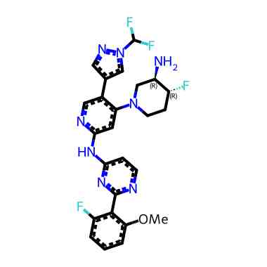 COc1cccc(F)c1-c1nccc(Nc2cc(N3CC[C@@H](F)[C@H](N)C3)c(-c3cnn(C(F)F)c3)cn2)n1